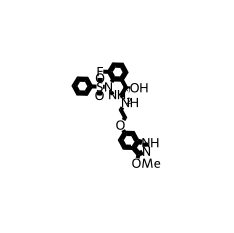 COc1n[nH]c2cc(OCCNC[C@H](O)c3cccc(F)c3N(N)S(=O)(=O)c3ccccc3)ccc12